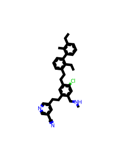 CCc1cccc(-c2cccc(CCc3cc(CCc4cncc(C#N)c4)c(CNC)cc3Cl)c2CC)c1C